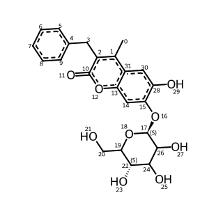 Cc1c(Cc2ccccc2)c(=O)oc2cc(O[C@@H]3OC(CO)[C@@H](O)C(O)C3O)c(O)cc12